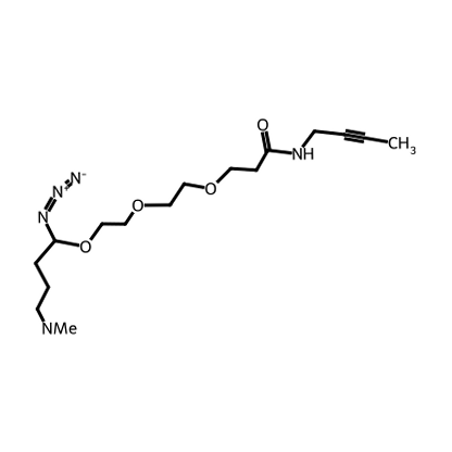 CC#CCNC(=O)CCOCCOCCOC(CCCNC)N=[N+]=[N-]